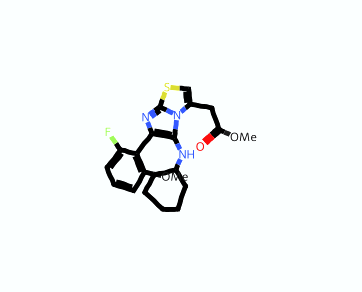 COC(=O)Cc1csc2nc(-c3c(F)cccc3OC)c(NC3CCCCC3)n12